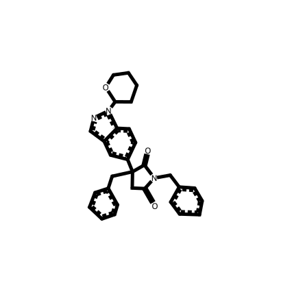 O=C1CC(Cc2ccccc2)(c2ccc3c(cnn3C3CCCCO3)c2)C(=O)N1Cc1ccccc1